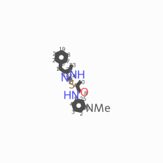 CNc1cccc(NC(=O)C(C)Sc2nc(Cc3ccccc3)c(C)[nH]2)c1